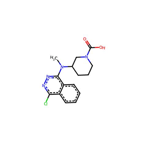 CN(c1nnc(Cl)c2ccccc12)C1CCCN(C(=O)O)C1